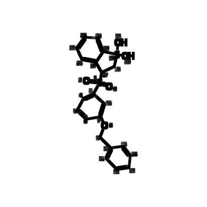 O=S(=O)(c1cccc(OCc2ccccc2)c1)C1CS(O)(O)c2ccccc21